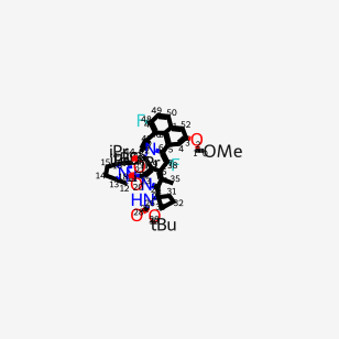 COCOc1cc(-c2ncc3c(N4CC5CCC(C4)N5C(=O)OC(C)(C)C)nc(C4(NC(=O)OC(C)(C)C)CCC4)c(C)c3c2F)c2c(C#C[Si](C(C)C)(C(C)C)C(C)C)c(F)ccc2c1